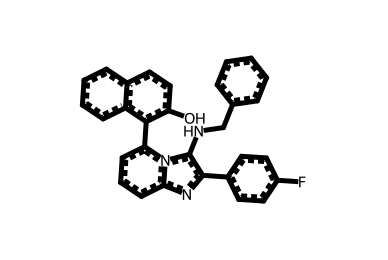 Oc1ccc2ccccc2c1-c1cccc2nc(-c3ccc(F)cc3)c(NCc3ccccc3)n12